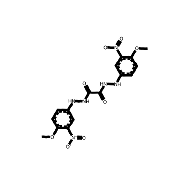 COc1ccc(NNC(=O)C(=O)NNc2ccc(OC)c([N+](=O)[O-])c2)cc1[N+](=O)[O-]